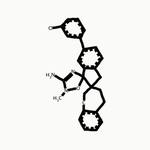 CN1OC2(N=C1N)c1cc(-c3cccc(Cl)c3)ccc1CC21CCc2ccccc2CC1